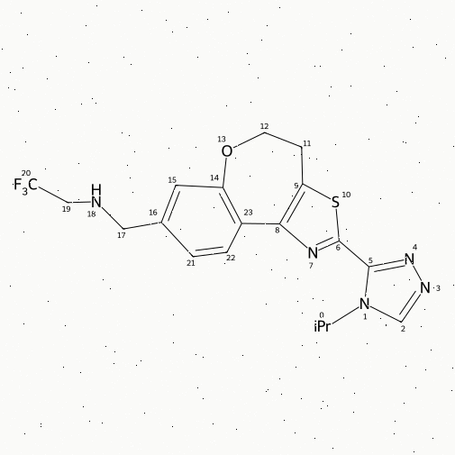 CC(C)n1cnnc1-c1nc2c(s1)CCOc1cc(CNCC(F)(F)F)ccc1-2